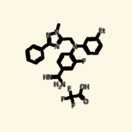 CCc1cccc(N(Cc2nc(-c3ccccc3)nn2C)c2ccc(C(=N)N)cc2F)c1.O=C(O)C(F)(F)F